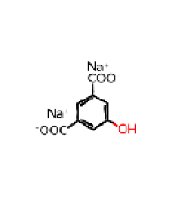 O=C([O-])c1cc(O)cc(C(=O)[O-])c1.[Na+].[Na+]